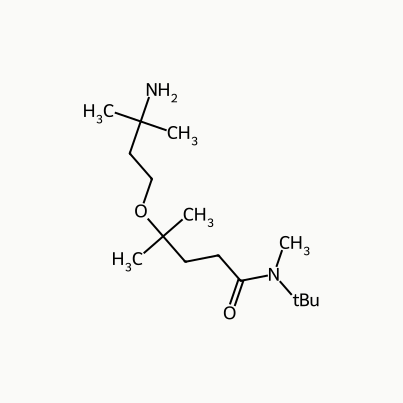 CN(C(=O)CCC(C)(C)OCCC(C)(C)N)C(C)(C)C